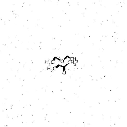 C=CC(C)=O.C=COCC